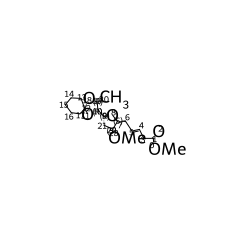 COC(=O)CC=CC[C@@H]1O[C@@H]([C@@H]2OC3(CCCCC3)O[C@@H]2C)C[C@@H]1OC